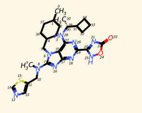 CC1CCC(Cn2c(N(C)Cc3cncs3)nc3nc(-c4nc(=O)o[nH]4)nc(N[C@H](C)C4CCC4)c32)CC1